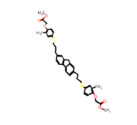 COC(=O)COc1ccc(SCCCc2ccc3c(c2)Cc2cc(CCCSc4ccc(OCC(=O)OC)c(C)c4)ccc2-3)cc1C